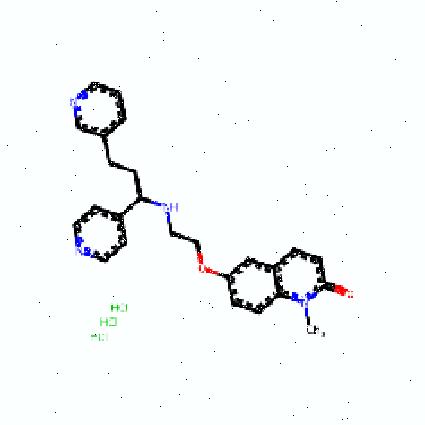 Cl.Cl.Cl.Cn1c(=O)ccc2cc(OCCNC(CCc3cccnc3)c3ccncc3)ccc21